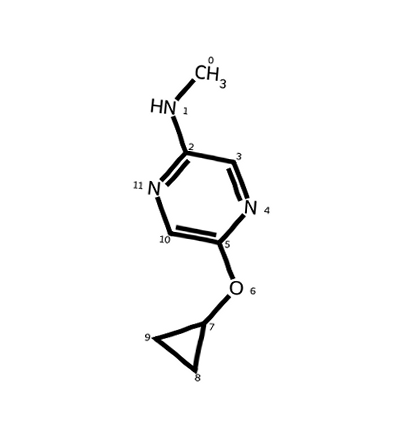 CNc1cnc(OC2CC2)cn1